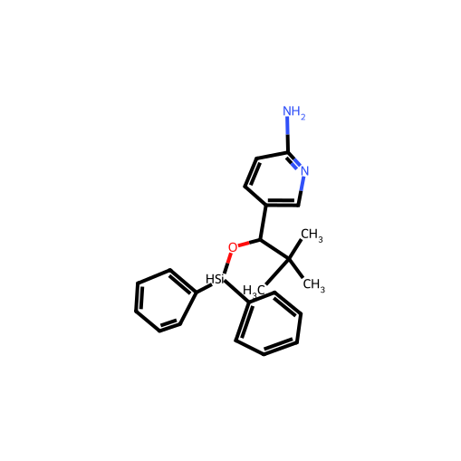 CC(C)(C)C(O[SiH](c1ccccc1)c1ccccc1)c1ccc(N)nc1